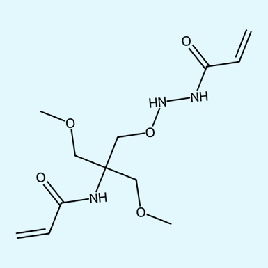 C=CC(=O)NNOCC(COC)(COC)NC(=O)C=C